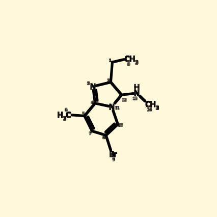 CCC1N=C2C(C)=CC(Br)=CN2C1NC